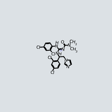 CN(C)C(=O)/N=C(\Nc1ccc(Cl)cc1Cl)NC(Cn1ccnc1)c1ccc(Cl)cc1Cl